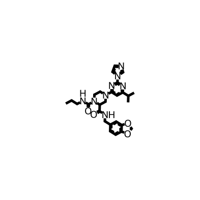 CCCNC(=O)N1CCN(c2cc(C(C)C)nc(-n3ccnc3)n2)CC1C(=O)NCc1ccc2c(c1)OCO2